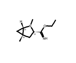 CCOC(=N)[C@@H]1C[C@]2(C)C[C@@H]2N1C